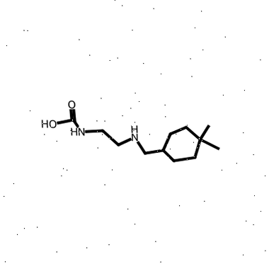 CC1(C)CCC(CNCCNC(=O)O)CC1